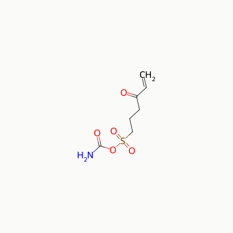 C=CC(=O)CCCS(=O)(=O)OC(N)=O